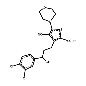 CCOC(=O)c1sc(N2CCOCC2)c(C#N)c1CCC(O)c1ccc(Cl)c(Cl)c1